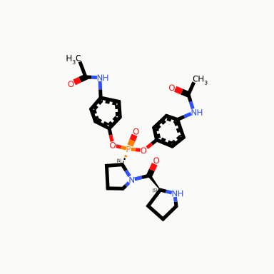 CC(=O)Nc1ccc(OP(=O)(Oc2ccc(NC(C)=O)cc2)[C@H]2CCCN2C(=O)[C@@H]2CCCN2)cc1